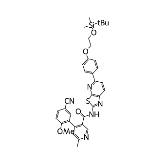 COc1ccc(C#N)cc1-c1cc(C)ncc1C(=O)Nc1nc2ccc(-c3ccc(OCCO[Si](C)(C)C(C)(C)C)cc3)nc2s1